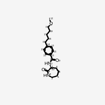 O=C(N[C@H]1CCCCNC1=O)c1ccc(CCCCCOI)cc1